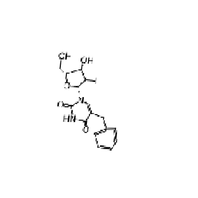 O=c1[nH]c(=O)n([C@@H]2O[C@H](CO)[C@@H](O)C2I)cc1Cc1ccccc1